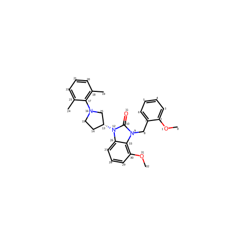 COc1ccccc1Cn1c(=O)n([C@@H]2CCN(c3c(C)cccc3C)C2)c2cccc(OC)c21